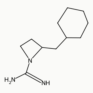 N=C(N)N1CCC1CC1CCCCC1